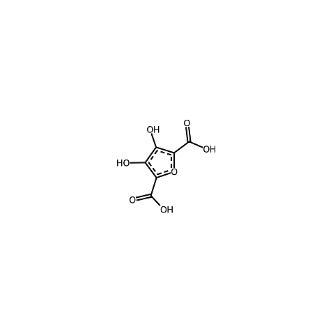 O=C(O)c1oc(C(=O)O)c(O)c1O